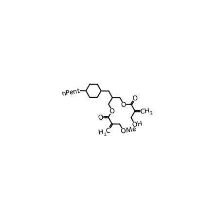 C=C(CO)C(=O)OCC(COC(=O)C(=C)COC)CC1CCC(CCCCC)CC1